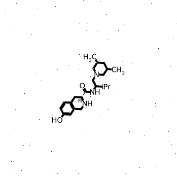 CC1CC(C)CN(CC(NC(=O)[C@H]2Cc3ccc(O)cc3CN2)C(C)C)C1